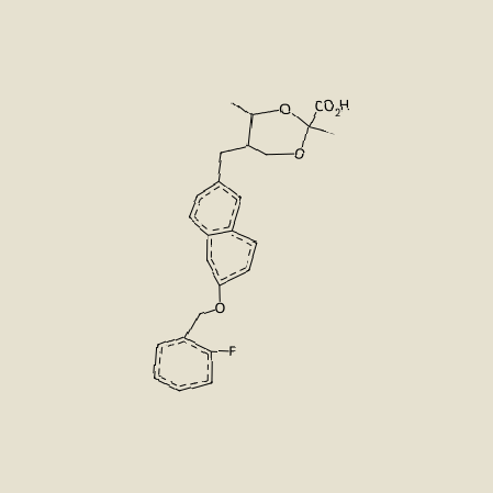 CC1OC(C)(C(=O)O)OCC1Cc1ccc2cc(OCc3ccccc3F)ccc2c1